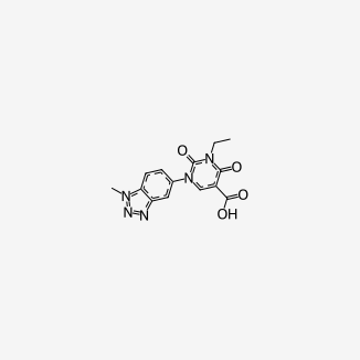 CCn1c(=O)c(C(=O)O)cn(-c2ccc3c(c2)nnn3C)c1=O